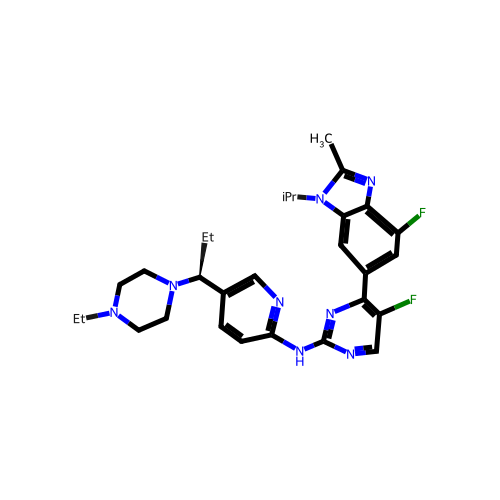 CC[C@@H](c1ccc(Nc2ncc(F)c(-c3cc(F)c4nc(C)n(C(C)C)c4c3)n2)nc1)N1CCN(CC)CC1